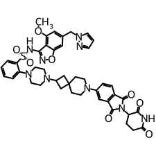 COc1cc(Cn2cccn2)cc2onc(NS(=O)(=O)c3ccccc3N3CCN(C4CC5(CCN(c6ccc7c(c6)C(=O)N(C6CCC(=O)NC6=O)C7=O)CC5)C4)CC3)c12